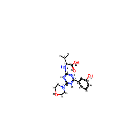 CC(C)C(Nc1nc(-c2cccc(O)c2)nc(N2CCOCC2)n1)C(=O)O